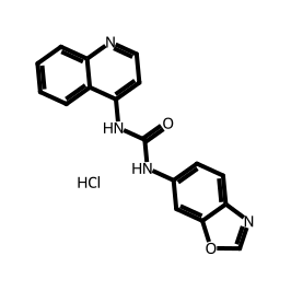 Cl.O=C(Nc1ccc2ncoc2c1)Nc1ccnc2ccccc12